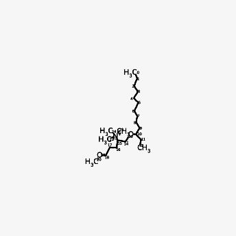 CCCCCCCCCCC(CC)O[CH]C(CCCOC)[N+](C)(C)C